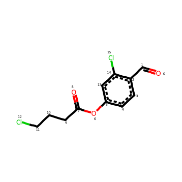 O=Cc1ccc(OC(=O)CCCCl)cc1Cl